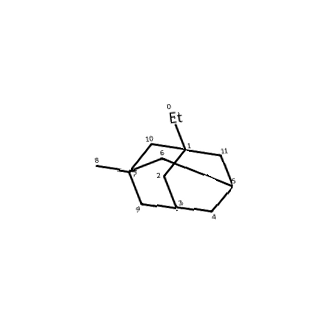 CCC12C[C]3CC(CC(C)(C3)C1)C2